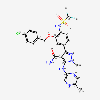 CC(C)(C)n1nc(-c2ccc(NS(=O)(=O)C(F)F)c(OCc3ccc(Cl)cc3)c2)c(C(N)=O)c1Nc1cnc(C(F)(F)F)cn1